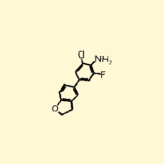 Nc1c(F)cc(-c2ccc3c(c2)CCO3)cc1Cl